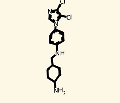 NC1CCC(CNc2ccc(-n3cnc(Cl)c3Cl)cc2)CC1